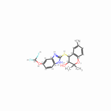 CC1(C)Oc2ccc(C#N)cc2C(Sc2nc3cc(OC(F)F)ccc3[nH]2)C1O